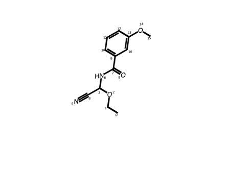 CCOC(C#N)NC(=O)c1cccc(OC)c1